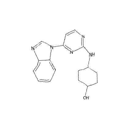 OC1CCC(Nc2nccc(-n3cnc4ccccc43)n2)CC1